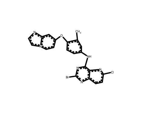 Cc1cc(Nc2nc(Br)nc3ccc(Cl)nc23)ccc1Oc1ccn2ccnc2c1